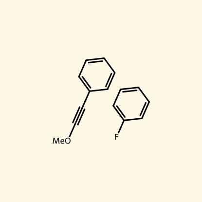 COC#Cc1ccccc1.Fc1ccccc1